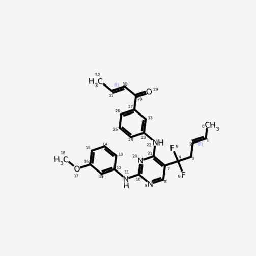 C/C=C/CC(F)(F)c1cnc(Nc2cccc(OC)c2)nc1Nc1cccc(C(=O)/C=C/C)c1